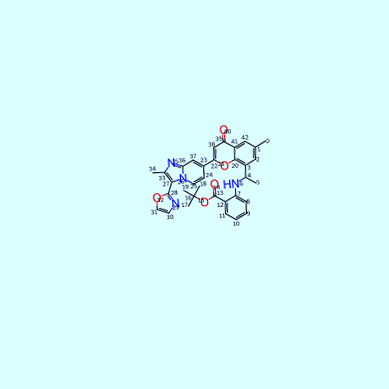 Cc1cc(C(C)Nc2ccccc2C(=O)OC(C)(C)C)c2oc(-c3ccn4c(-c5ncco5)c(C)nc4c3)cc(=O)c2c1